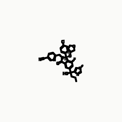 CCCC(O)(c1cc(F)c2c(c1)C(=O)N(Cc1ccc(C#N)cn1)[C@@]2(O[C@H]1CCOC1)c1ccc(Cl)cc1)c1cn(C)cn1